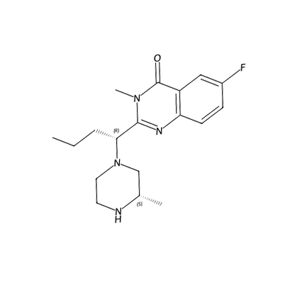 CCC[C@H](c1nc2ccc(F)cc2c(=O)n1C)N1CCN[C@@H](C)C1